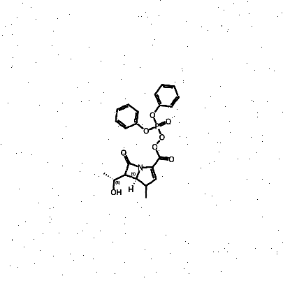 CC1C=C(C(=O)OOP(=O)(Oc2ccccc2)Oc2ccccc2)N2C(=O)C([C@@H](C)O)[C@H]12